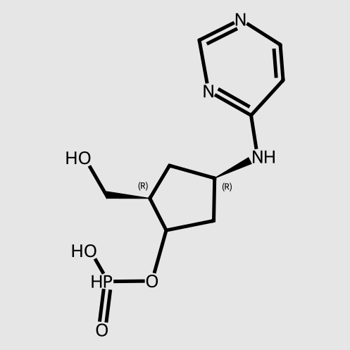 O=[PH](O)OC1C[C@H](Nc2ccncn2)C[C@@H]1CO